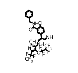 Cn1nc(C(F)(F)C(F)(F)F)c(OC(F)(F)C(F)C(F)(F)F)c1N/C=C(\C=N)c1ccc(Cl)c(C(=O)NCc2ccccc2)c1